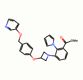 COC(=O)c1cccc(N2CC(Oc3ccc(COc4cccnc4)cc3)C2)c1-n1cccc1